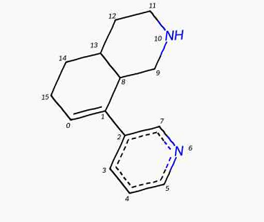 C1=C(c2cccnc2)C2CNCCC2CC1